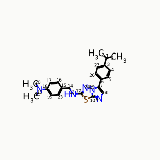 CC(C)c1ccc(-c2cnc3sc(NCc4ccc(N(C)C)cc4)nn23)cc1